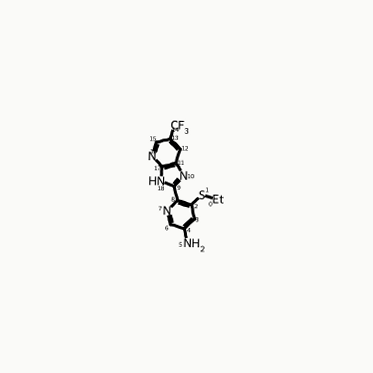 CCSc1cc(N)cnc1-c1nc2cc(C(F)(F)F)cnc2[nH]1